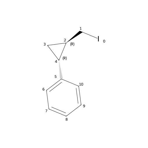 IC[C@@H]1C[C@H]1c1ccccc1